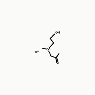 C=C(C)C[S+](C)CCO.[Br-]